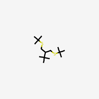 CC(C)(C)SCC(CSC(C)(C)C)C(C)(C)C